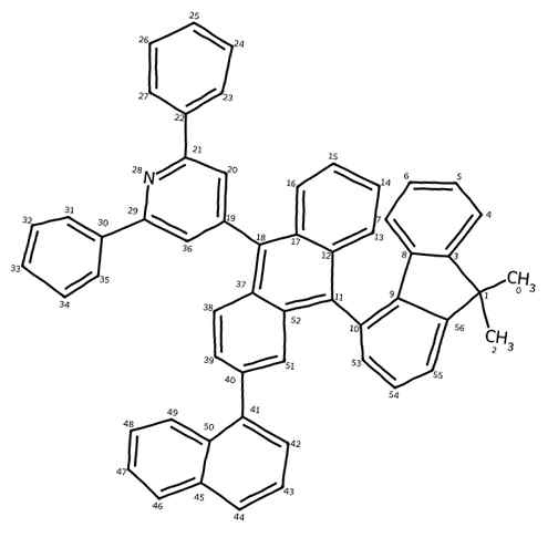 CC1(C)c2ccccc2-c2c(-c3c4ccccc4c(-c4cc(-c5ccccc5)nc(-c5ccccc5)c4)c4ccc(-c5cccc6ccccc56)cc34)cccc21